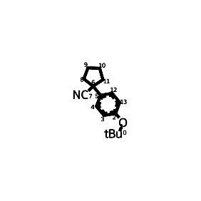 CC(C)(C)Oc1ccc(C2(C#N)CCCC2)cc1